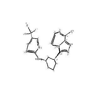 FC(F)(F)c1cnc(N[C@@H]2CCC[C@H](c3nnc4c(Cl)nccn34)C2)nc1